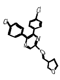 Clc1ccc(-c2ncc(OCC3CCOC3)nc2-c2ccc(Cl)cc2)cc1